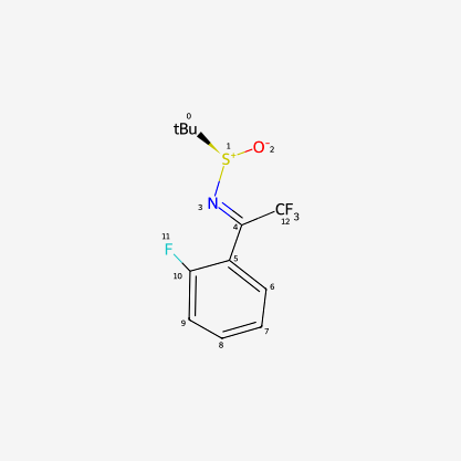 CC(C)(C)[S@@+]([O-])N=C(c1ccccc1F)C(F)(F)F